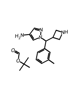 CC(C)(C)OC=O.Cc1cccc(C(C2CNC2)n2cc(N)cn2)c1